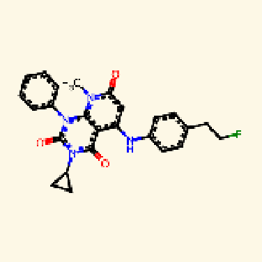 Cn1c(=O)cc(Nc2ccc(CCF)cc2)c2c(=O)n(C3CC3)c(=O)n(-c3ccccc3)c21